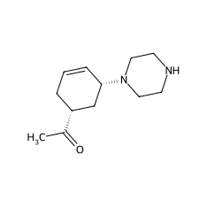 CC(=O)[C@@H]1CC=C[C@H](N2CCNCC2)C1